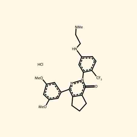 CNCCNc1ccc(C(F)(F)F)c(-n2nc(-c3cc(OC)cc(OC)c3)c3c(c2=O)CCC3)c1.Cl